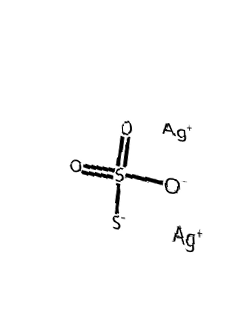 O=S(=O)([O-])[S-].[Ag+].[Ag+]